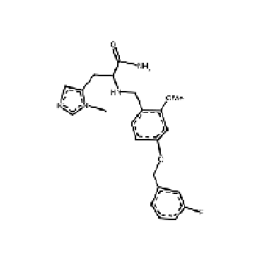 COc1cc(OCc2cccc(F)c2)ccc1CNC(Cc1cncn1C)C(N)=O